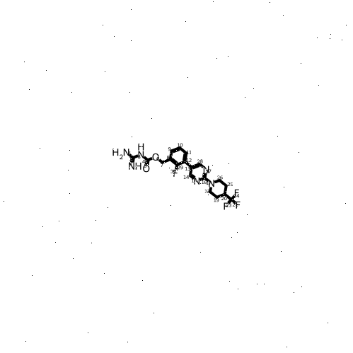 N=C(N)NC(=O)OCc1cccc(-c2cnc(N3CCC(C(F)(F)F)CC3)nc2)c1F